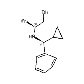 CC(C)[C@@H](CO)N[C@H](c1ccccc1)C1CC1